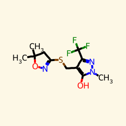 Cn1nc(C(F)(F)F)c(CSC2=NOC(C)(C)C2)c1O